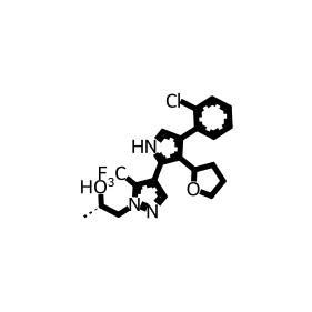 C[C@H](O)Cn1ncc(-c2[nH]cc(-c3ccccc3Cl)c2C2CCCO2)c1C(F)(F)F